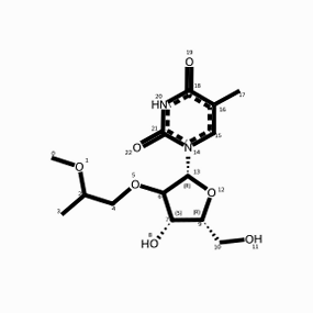 COC(C)COC1[C@@H](O)[C@@H](CO)O[C@H]1n1cc(C)c(=O)[nH]c1=O